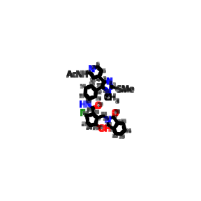 CSc1nc(-c2ccnc(NC(C)=O)c2)c(-c2cccc(NC(=O)c3c(F)ccc(O)c3CN3Cc4ccccc4C3=O)c2)n1C